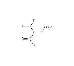 O=C(O)CC(C(=O)Cl)C(F)F